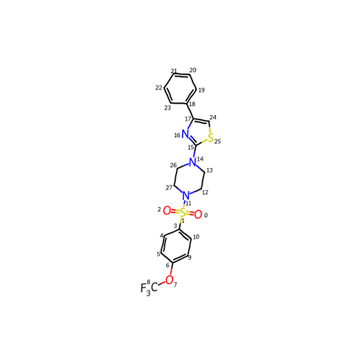 O=S(=O)(c1ccc(OC(F)(F)F)cc1)N1CCN(c2nc(-c3ccccc3)cs2)CC1